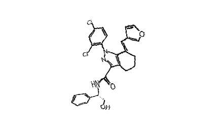 O=C(N[C@H](CO)c1ccccc1)c1nn(-c2ccc(Cl)cc2Cl)c2c1CCC/C2=C\c1ccoc1